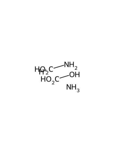 N.NC(=O)O.O=C(O)O.[H+]